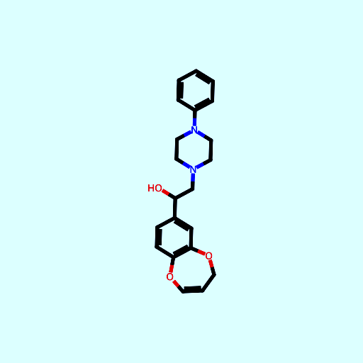 OC(CN1CCN(c2ccccc2)CC1)c1ccc2c(c1)OCC=CO2